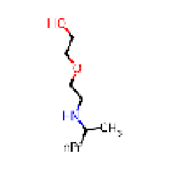 CCCC(C)NCCOCCO